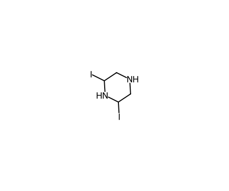 IC1CNCC(I)N1